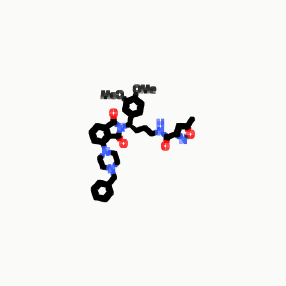 COc1ccc([C@@H](CCCNC(=O)c2cc(C)on2)N2C(=O)c3cccc(N4CCN(Cc5ccccc5)CC4)c3C2=O)cc1OC